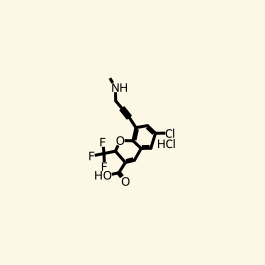 CNCC#Cc1cc(Cl)cc2c1OC(C(F)(F)F)C(C(=O)O)=C2.Cl